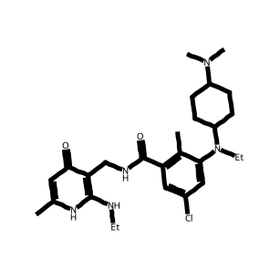 CCNc1[nH]c(C)cc(=O)c1CNC(=O)c1cc(Cl)cc(N(CC)C2CCC(N(C)C)CC2)c1C